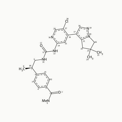 CNC(=O)c1ccc([C@@H](C)CNC(=O)Nc2cc(-c3cnn4c3CC(C)(C)C4)c(Cl)cn2)cc1